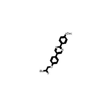 CCCCCCCCCCc1ccc(-c2ncc(-c3ccc(OCC(F)C(C)CC)cc3)cn2)cc1